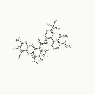 COc1cccc(-c2cc(C(F)(F)F)ccc2NC(=O)C2=C(O)[C@@]3(C)CCCN3N(Cc3ccc(O)c(F)c3F)C2=O)c1OC